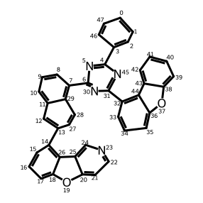 c1ccc(-c2nc(-c3cccc4cc(-c5cccc6oc7ccncc7c56)ccc34)nc(-c3cccc4oc5ccccc5c34)n2)cc1